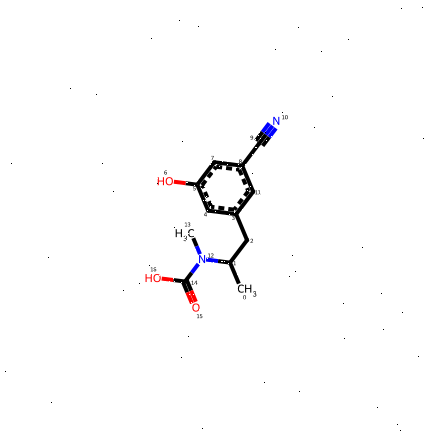 CC(Cc1cc(O)cc(C#N)c1)N(C)C(=O)O